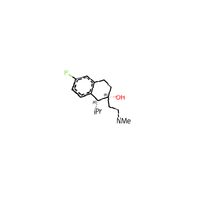 CNCC[C@]1(O)CCc2cc(F)ccc2[C@H]1C(C)C